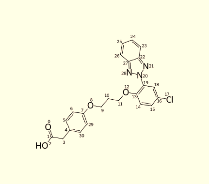 O=C(O)Cc1ccc(OCCCOc2ccc(Cl)cc2-n2nc3ccccc3n2)cc1